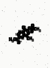 Cn1cc(OS(C)(=O)=O)c(=O)c2ccc([S+](C)[O-])cc21